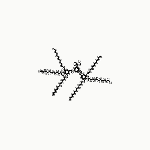 CCCCCCCCCCCCOc1cc(COc2cc(OCc3cc(OCCCCCCCCCCCC)c(OCCCCCCCCCCCC)c(OCCCCCCCCCCCC)c3)cc(C(=O)OC)c2)cc(OCCCCCCCCCCCC)c1OCCCCCCCCCCCC